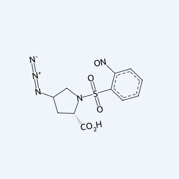 [N-]=[N+]=NC1C[C@@H](C(=O)O)N(S(=O)(=O)c2ccccc2N=O)C1